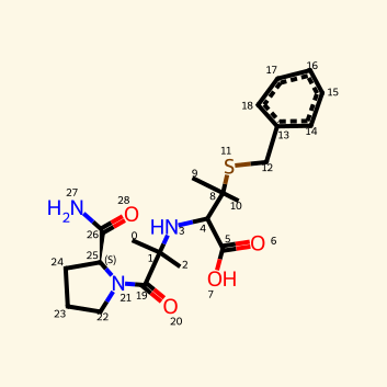 CC(C)(NC(C(=O)O)C(C)(C)SCc1ccccc1)C(=O)N1CCC[C@H]1C(N)=O